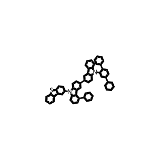 c1ccc(-c2ccc(-c3ccccc3)c(-n3c4ccccc4c4cc(-c5ccc6c(c5)c5c(-c7ccccc7)cccc5n6-c5ccc6sc7ccccc7c6c5)ccc43)c2)cc1